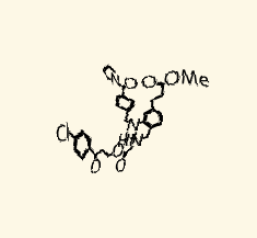 COC(=O)CCc1ccc(CNCC(=O)OCCC(=O)c2ccc(Cl)cc2)c(NCc2ccc(C(=O)N3CC=CC3)cc2)c1